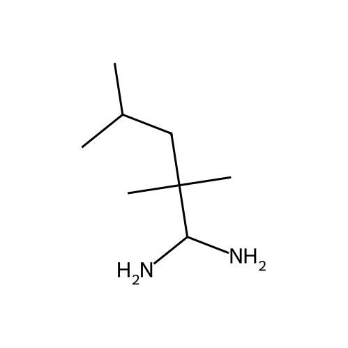 CC(C)CC(C)(C)C(N)N